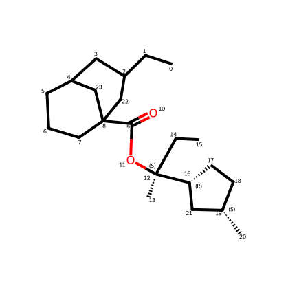 CCC1CC2CCCC(C(=O)O[C@@](C)(CC)[C@@H]3CC[C@H](C)C3)(C1)C2